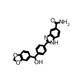 NC(=O)c1ccc2[nH]c(-c3ccc(C(O)c4ccc5c(c4)OCO5)cc3)nc2c1